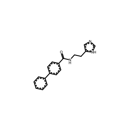 O=C(NCCc1cnc[nH]1)c1ccc(-c2ccccc2)cc1